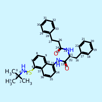 CC(C)(C)NSc1cccc2c(NC(=O)[C@H](Cc3ccccc3)NC(=O)CCc3ccccc3)cccc12